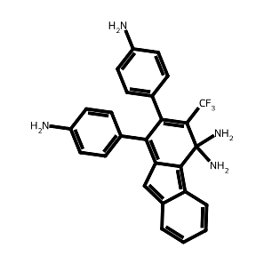 Nc1ccc(C2=C3C=c4ccccc4=C3C(N)(N)C(C(F)(F)F)=C2c2ccc(N)cc2)cc1